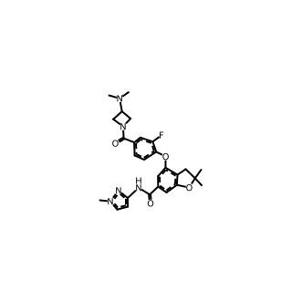 CN(C)C1CN(C(=O)c2ccc(Oc3cc(C(=O)Nc4ccn(C)n4)cc4c3CC(C)(C)O4)c(F)c2)C1